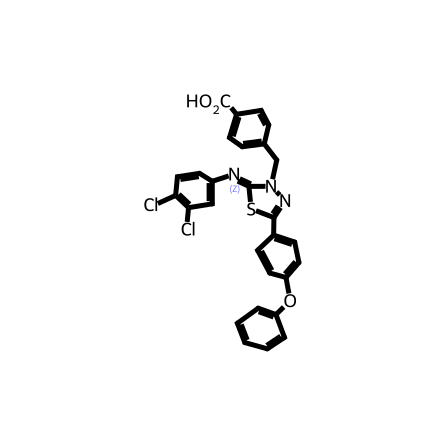 O=C(O)c1ccc(Cn2nc(-c3ccc(Oc4ccccc4)cc3)s/c2=N\c2ccc(Cl)c(Cl)c2)cc1